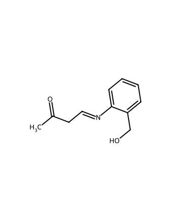 CC(=O)CC=Nc1ccccc1CO